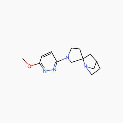 COc1ccc(N2CCC3(CC4CCN3C4)C2)nn1